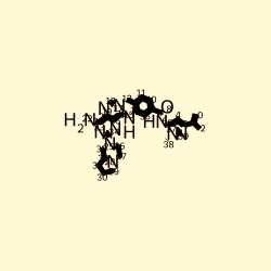 C=C(C)c1cc(NC(=O)c2ccc(C)c(Nc3ncnc4c(N)nc(N5CCN6CCCC6C5)nc34)c2)n(C)n1